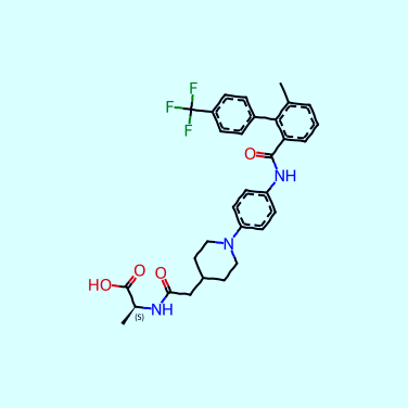 Cc1cccc(C(=O)Nc2ccc(N3CCC(CC(=O)N[C@@H](C)C(=O)O)CC3)cc2)c1-c1ccc(C(F)(F)F)cc1